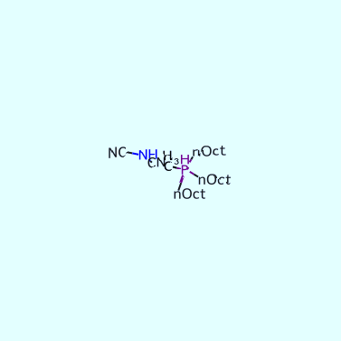 CCCCCCCC[PH](C)(CCCCCCCC)CCCCCCCC.N#CNC#N